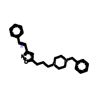 C(=C\c1cc(CCCN2CCN(Cc3ccccc3)CC2)on1)/c1ccccc1